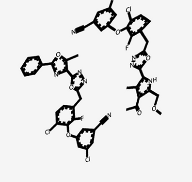 COCc1[nH]c(-c2nnc(Cc3ccc(Cl)c(Oc4cc(Cl)cc(C#N)c4)c3F)o2)c(C)c1C(C)=O.Cc1oc(-c2ccccc2)nc1-c1nnc(Cc2ccc(Cl)c(Oc3cc(Cl)cc(C#N)c3)c2F)o1